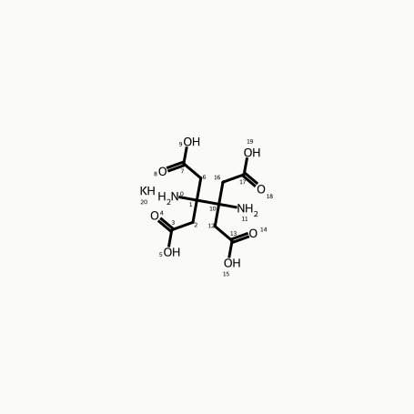 NC(CC(=O)O)(CC(=O)O)C(N)(CC(=O)O)CC(=O)O.[KH]